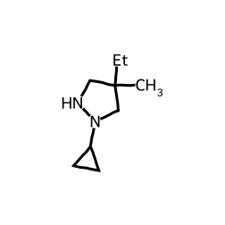 CCC1(C)CNN(C2CC2)C1